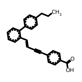 CCCc1ccc(-c2ccccc2C=CC#Cc2ccc(C(=O)O)cc2)cc1